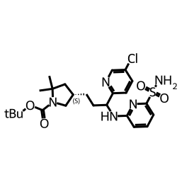 CC(C)(C)OC(=O)N1C[C@@H](CCC(Nc2cccc(S(N)(=O)=O)n2)c2ccc(Cl)cn2)CC1(C)C